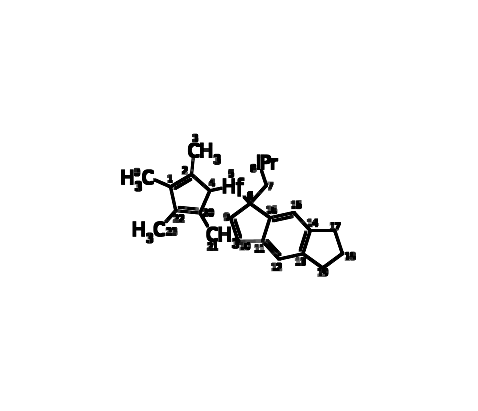 CC1=C(C)[CH]([Hf][C]2(CC(C)C)C=Cc3cc4c(cc32)CCC4)C(C)=C1C